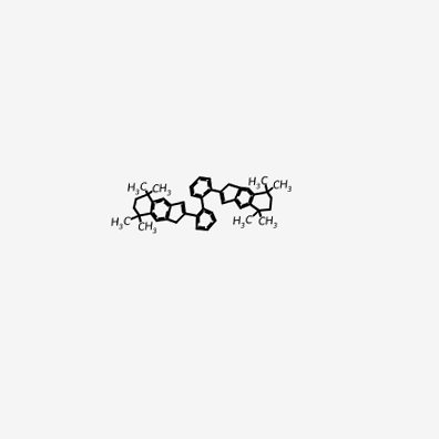 CC1(C)CCC(C)(C)c2cc3c(cc21)C=C(c1ccccc1-c1ccccc1C1=Cc2cc4c(cc2C1)C(C)(C)CCC4(C)C)C3